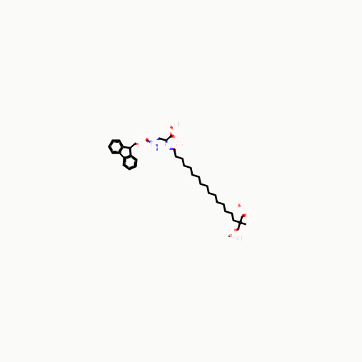 CC(C)(C)OC(=O)C(CNC(=O)OCC1c2ccccc2-c2ccccc21)NC(=O)CCCCCCCCCCCCCCCC(C)(C(=O)OC(C)(C)C)C(=O)OC(C)(C)C